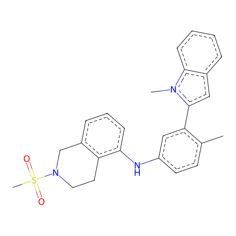 Cc1ccc(Nc2cccc3c2CCN(S(C)(=O)=O)C3)cc1-c1cc2ccccc2n1C